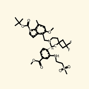 COC(=O)c1ccc([C@H]2CC3(CCN2Cc2c(OC)cc(C)c4c2ccn4C(=O)OC(C)(C)C)CC(F)(F)C3)c(NCCS(C)(=O)=O)c1